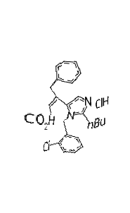 CCCCc1ncc(C(=CC(=O)O)Cc2ccccc2)n1Cc1ccccc1Cl.Cl